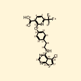 O=C(O)c1ccc(C(F)(F)F)nc1Oc1ccc(CCNc2ncnc3scc(Cl)c23)cc1